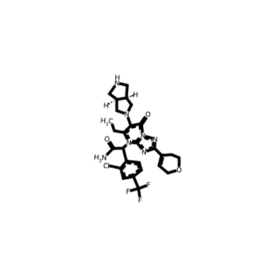 CCc1c(N2C[C@H]3CNC[C@H]3C2)c(=O)n2nc(C3=CCOCC3)nc2n1C(C(N)=O)c1ccc(C(F)(F)F)cc1Cl